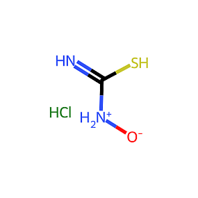 Cl.N=C(S)[NH2+][O-]